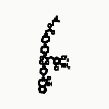 CN(C)CCOC(=O)CN1CCC(N2CCN(C(=O)[C@@H](Cc3cc(Cl)c(N)c(C(F)(F)F)c3)OC(=O)N3CCC(N4CCc5ccccc5NC4=O)CC3)CC2)CC1